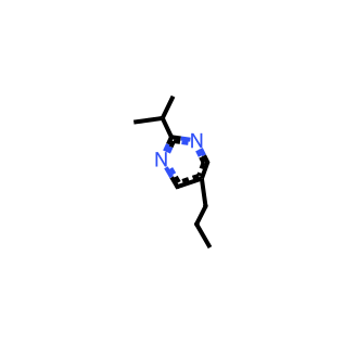 CCCc1cnc(C(C)C)nc1